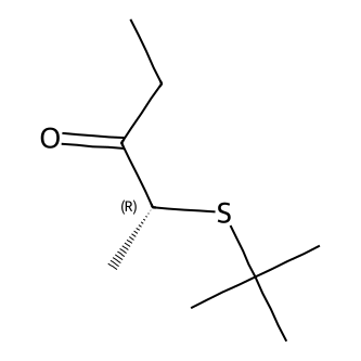 CCC(=O)[C@@H](C)SC(C)(C)C